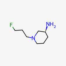 N[C@H]1CCCN(CCCF)C1